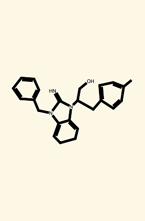 Cc1ccc(CC(CO)n2c3c(n(Cc4ccccc4)c2=N)=CCCC=3)cc1